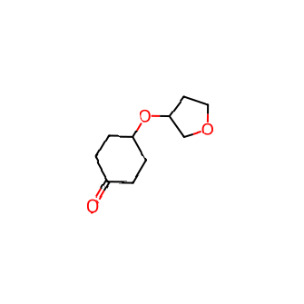 O=C1CCC(OC2CCOC2)CC1